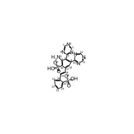 Nc1c(-c2ncncn2)c(-c2ncncn2)cc(C=Cc2ccccc2S(=O)(=O)O)c1S(=O)(=O)O